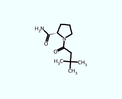 CC(C)(C)CC(=O)N1CCC[C@H]1C(N)=O